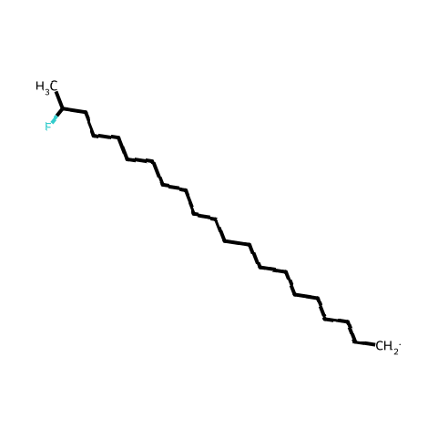 [CH2]CCCCCCCCCCCCCCCCCCC(C)F